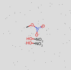 CO[N+](=O)[O-].O=[N+]([O-])O.O=[N+]([O-])O